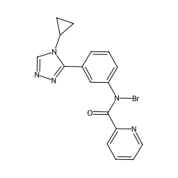 O=C(c1ccccn1)N(Br)c1cccc(-c2nncn2C2CC2)c1